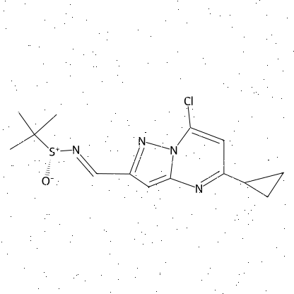 CC(C)(C)[S@@+]([O-])/N=C/c1cc2nc(C3CC3)cc(Cl)n2n1